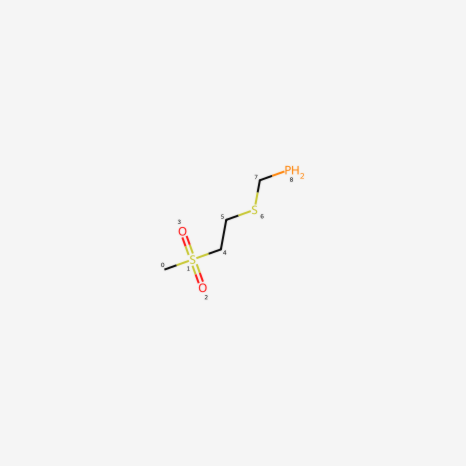 CS(=O)(=O)CCSCP